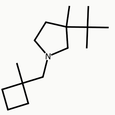 CC1(CN2CCC(C)(C(C)(C)C)C2)CCC1